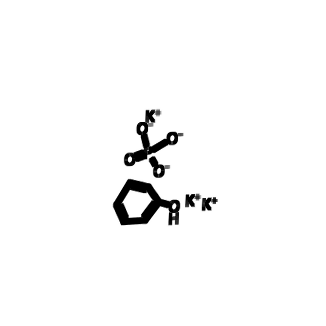 O=P([O-])([O-])[O-].Oc1ccccc1.[K+].[K+].[K+]